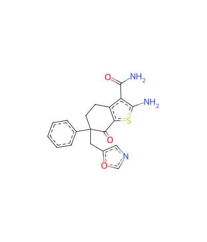 NC(=O)c1c(N)sc2c1CCC(Cc1cnco1)(c1ccccc1)C2=O